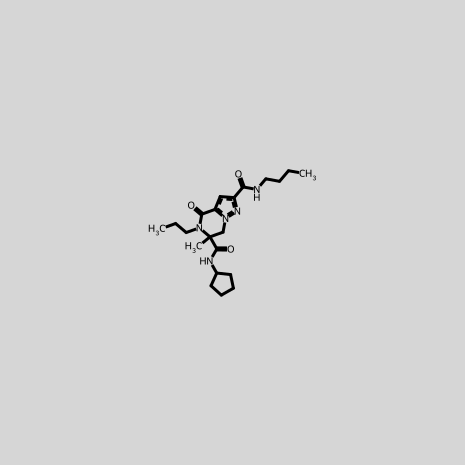 CCCCNC(=O)c1cc2n(n1)CC(C)(C(=O)NC1CCCC1)N(CCC)C2=O